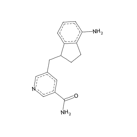 NC(=O)c1cncc(CC2CCc3c(N)cccc32)c1